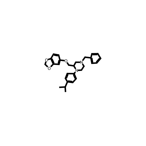 CC(C)c1ccc(N2CCN(Cc3ccccc3)CC2COc2ccc3c(c2)OCO3)cc1